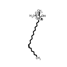 CCCCCC/C=C\CCCCCCCCCCCOP(=O)(O)C(CC)[N+](C)(C)C